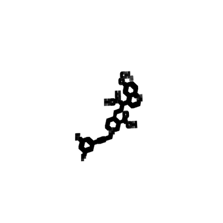 COc1ccc2nccc(C(CC[C@@H]3CCN(CC#Cc4cc(F)cc(F)c4)C[C@@H]3C(=O)O)NO)c2c1